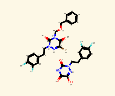 O=c1[nH]c(=O)n(CCc2ccc(F)c(F)c2)nc1O.O=c1c(Br)nn(CCc2ccc(F)c(F)c2)c(=O)n1COCc1ccccc1